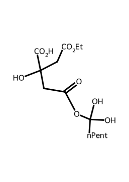 CCCCCC(O)(O)OC(=O)CC(O)(CC(=O)OCC)C(=O)O